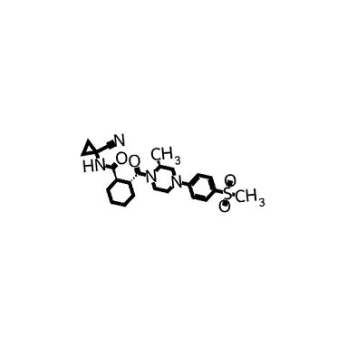 C[C@H]1CN(c2ccc(S(C)(=O)=O)cc2)CCN1C(=O)[C@@H]1CCCC[C@H]1C(=O)NC1(C#N)CC1